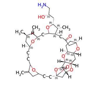 C=C1CC2CC[C@@]34C[C@H]5O[C@H]6C(O3)[C@H]3O[C@H](CC[C@@H]3O[C@H]6[C@H]5O4)CC(=O)C[C@H]3C(C[C@H]4O[C@@H](CCC1O2)C[C@@H](C)C4=C)O[C@H](C[C@H](O)CN)[C@@H]3C